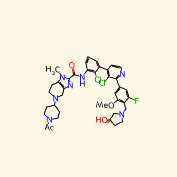 COc1cc(-c2nccc(-c3cccc(NC(=O)c4nc5c(n4C)CCN(C4CCN(C(C)=O)CC4)C5)c3Cl)c2Cl)cc(F)c1CN1CC[C@@H](O)C1